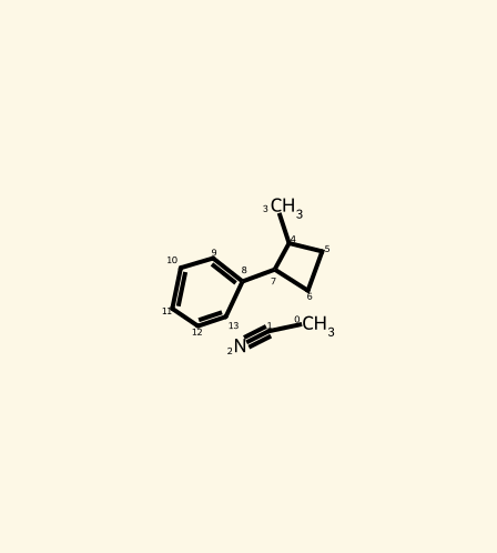 CC#N.CC1CCC1c1ccccc1